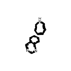 C1=CC=CNC=C1.c1ccc2ncncc2c1